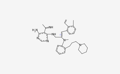 C=Cc1c(C)cccc1/C=C(/CNc1ncnc(N)c1C(C)=N)N(C)c1ccccc1CCCN1CCCCC1